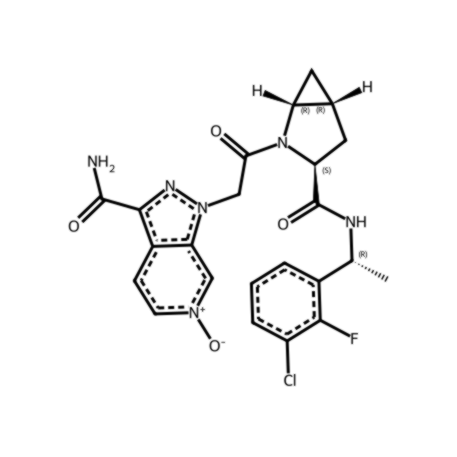 C[C@@H](NC(=O)[C@@H]1C[C@H]2C[C@H]2N1C(=O)Cn1nc(C(N)=O)c2cc[n+]([O-])cc21)c1cccc(Cl)c1F